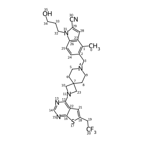 Cc1c(CN2CCC3(CC2)CN(c2ncnc4sc(CC(F)(F)F)cc24)C3)ccc2c1cc(C#N)n2CCCO